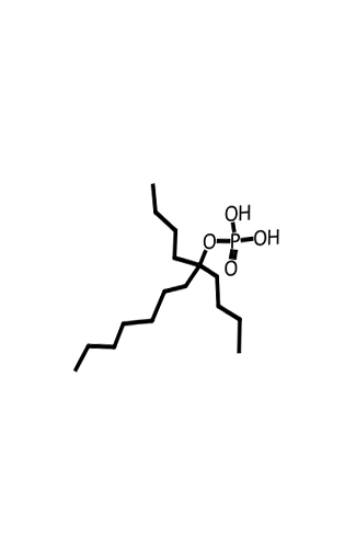 CCCCCCCC(CCCC)(CCCC)OP(=O)(O)O